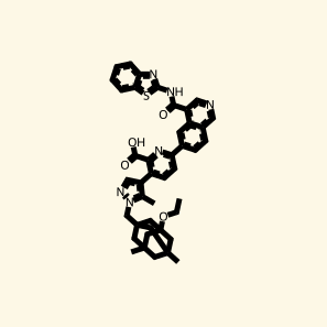 CCOC12CC3(C)CC(C)(CC(Cn4ncc(-c5ccc(-c6ccc7cncc(C(=O)Nc8nc9ccccc9s8)c7c6)nc5C(=O)O)c4C)(C3)C1)C2